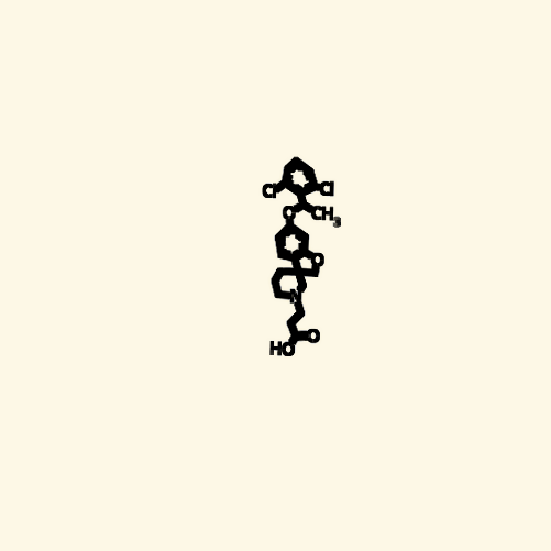 CC(Oc1ccc2c(c1)OCC21CCCN(CCC(=O)O)C1)c1c(Cl)cccc1Cl